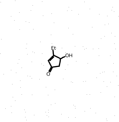 CCC1=CC(=O)CC1O